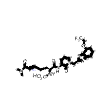 CN(C)C(=O)/C=C/CC[C@H](NC(=O)O)C(=O)Nc1cccn(Cc2nc3cccc(OCC(F)(F)F)c3s2)c1=O